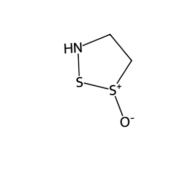 [O-][S+]1CCNS1